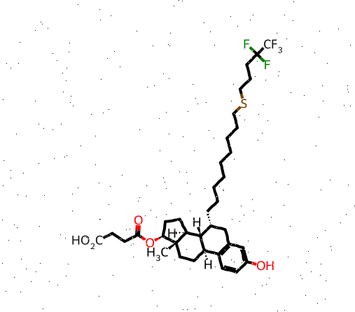 C[C@]12CC[C@@H]3c4ccc(O)cc4C[C@@H](CCCCCCCCCSCCCC(F)(F)C(F)(F)F)[C@H]3[C@@H]1CC[C@@H]2OC(=O)CCC(=O)O